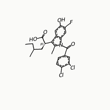 CCC(C)C[C@@H](C(=O)O)c1c(C)n(C(=O)c2ccc(Cl)c(Cl)c2)c2cc(F)c(O)cc12